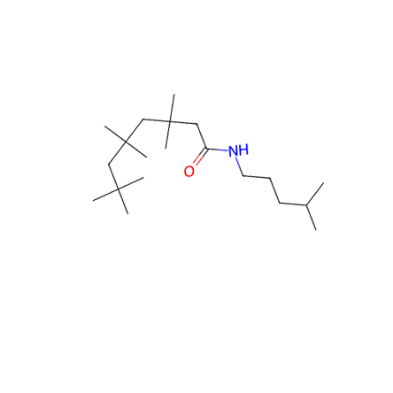 CC(C)CCCNC(=O)CC(C)(C)CC(C)(C)CC(C)(C)C